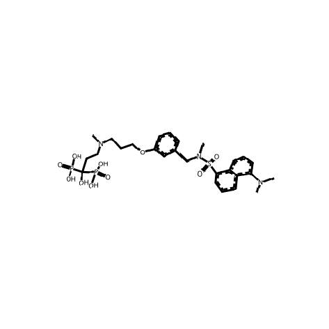 CN(CCCOc1cccc(CN(C)S(=O)(=O)c2cccc3c(N(C)C)cccc23)c1)CCC(O)(P(=O)(O)O)P(=O)(O)O